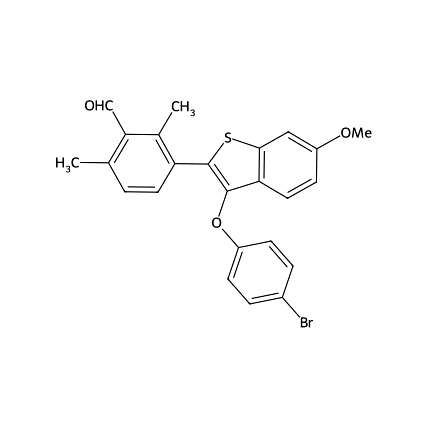 COc1ccc2c(Oc3ccc(Br)cc3)c(-c3ccc(C)c(C=O)c3C)sc2c1